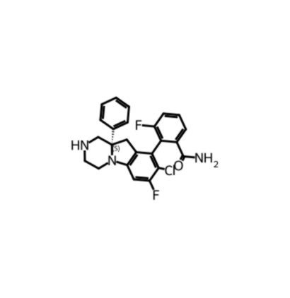 NC(=O)c1cccc(F)c1-c1c(Cl)c(F)cc2c1C[C@]1(c3ccccc3)CNCCN21